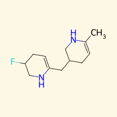 CC1=CCC(CC2=CCC(F)CN2)CN1